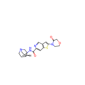 O=C(N[C@H]1CN2CCC1CC2)c1cc2sc(N3CCOCC3=O)cc2cn1